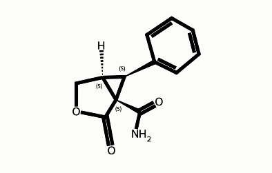 NC(=O)[C@@]12C(=O)OC[C@H]1[C@H]2c1ccccc1